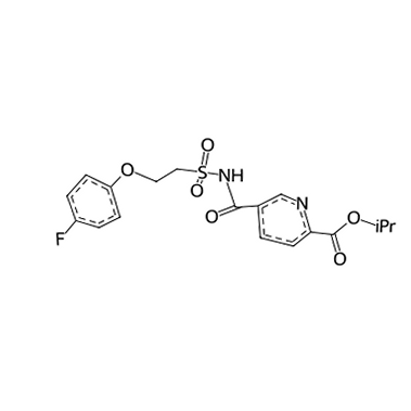 CC(C)OC(=O)c1ccc(C(=O)NS(=O)(=O)CCOc2ccc(F)cc2)cn1